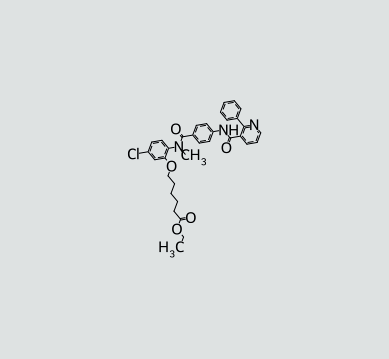 CCOC(=O)CCCCCOc1cc(Cl)ccc1N(C)C(=O)c1ccc(NC(=O)c2cccnc2-c2ccccc2)cc1